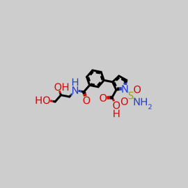 NS(=O)(=O)n1ccc(-c2cccc(C(=O)NCC(O)CO)c2)c1C(=O)O